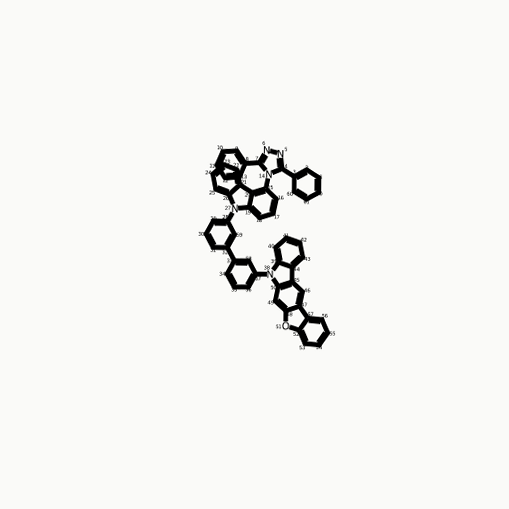 c1ccc(-c2nnc(-c3ccccc3)n2-c2cccc3c2c2ccccc2n3-c2cccc(-c3cccc(-n4c5ccccc5c5cc6c(cc54)oc4ccccc46)c3)c2)cc1